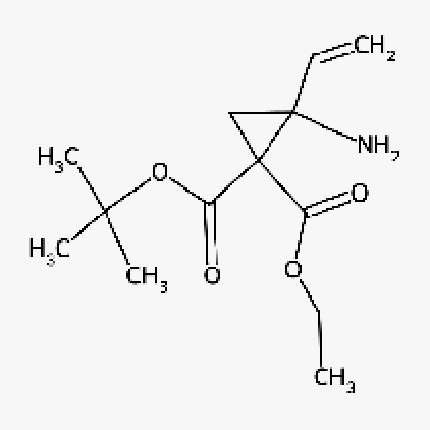 C=CC1(N)CC1(C(=O)OCC)C(=O)OC(C)(C)C